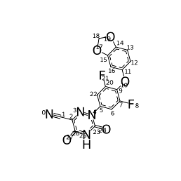 N#Cc1nn(-c2cc(F)c(Oc3ccc4c(c3)OCO4)c(F)c2)c(=O)[nH]c1=O